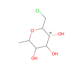 CC1OC(CCl)[C@H](O)C(O)C1O